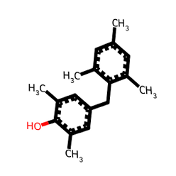 Cc1cc(C)c(Cc2cc(C)c(O)c(C)c2)c(C)c1